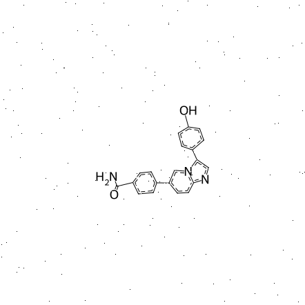 NC(=O)c1ccc(-c2ccc3ncc(-c4ccc(O)cc4)n3c2)cc1